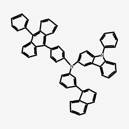 c1ccc(-c2c3ccccc3c(-c3ccc(N(c4cccc(-c5cccc6ccccc56)c4)c4ccc5c(c4)c4ccccc4n5-c4ccccc4)cc3)c3ccccc23)cc1